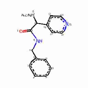 CC(=O)NC(C(=O)NCc1ccccc1)c1ccncc1